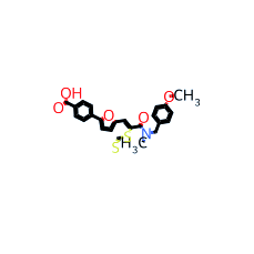 COc1ccc(CN(C)C(=O)/C(=C/c2ccc(-c3ccc(C(=O)O)cc3)o2)SC=S)cc1